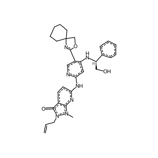 C=CCn1c(=O)c2ccc(Nc3cc(N[C@H](CO)c4ccccc4)c(C4=NC5(CCCCC5)CO4)cn3)nc2n1C